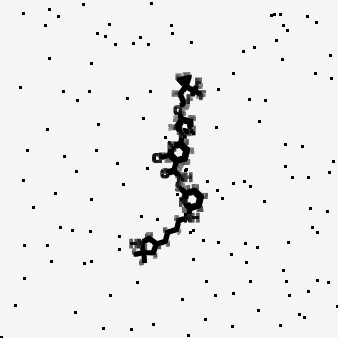 CC1(C)CC(CCCCNc2cccc(SNC(=O)c3ccc(-n4cc(OCCC5(C(F)(F)F)CC5)cn4)nc3Cl)n2)CN1